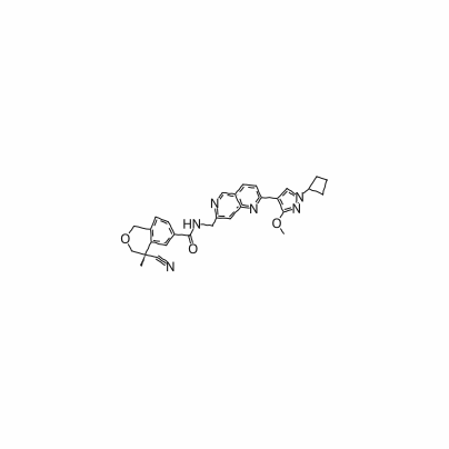 COc1nn(C2CCC2)cc1-c1ccc2cnc(CNC(=O)c3ccc4c(c3)[C@](C)(C#N)COC4)cc2n1